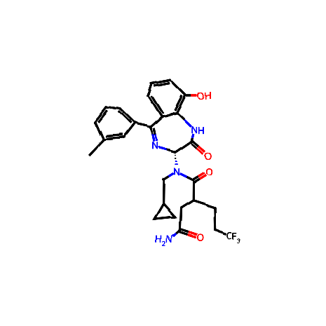 Cc1cccc(C2=N[C@@H](N(CC3CC3)C(=O)C(CCC(F)(F)F)CC(N)=O)C(=O)Nc3c(O)cccc32)c1